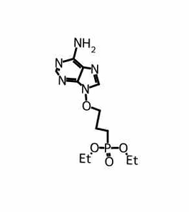 CCOP(=O)(CCCOn1cnc2c(N)ncnc21)OCC